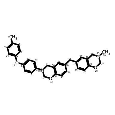 Cc1ccc(Oc2ccc(N3COc4ccc(Cc5ccc6c(c5)CN(C)CO6)cc4C3)cc2)cc1